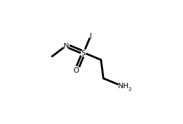 CN=S(=O)(I)CCN